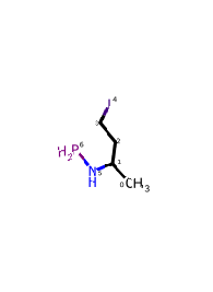 CC(CCI)NP